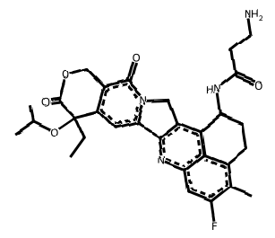 CCC1(OC(C)C)C(=O)OCc2c1cc1n(c2=O)Cc2c-1nc1cc(F)c(C)c3c1c2C(NC(=O)CCN)CC3